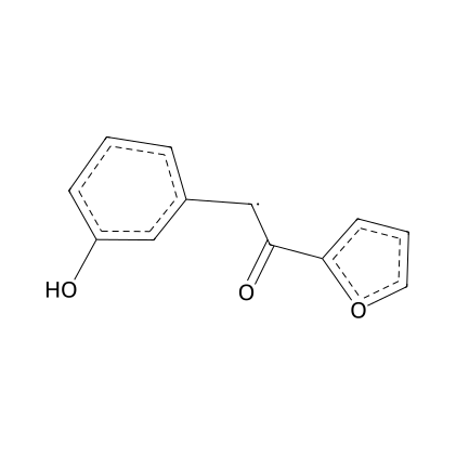 O=C([CH]c1cccc(O)c1)c1ccco1